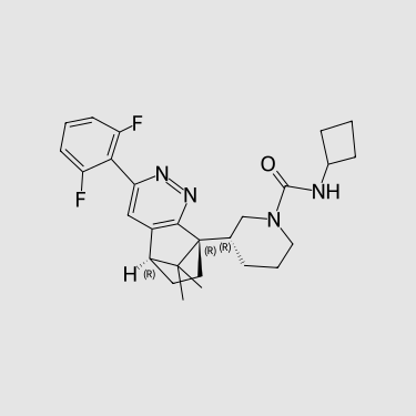 CC1(C)[C@H]2CC[C@]1([C@H]1CCCN(C(=O)NC3CCC3)C1)c1nnc(-c3c(F)cccc3F)cc12